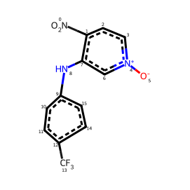 O=[N+]([O-])c1cc[n+]([O-])cc1Nc1ccc(C(F)(F)F)cc1